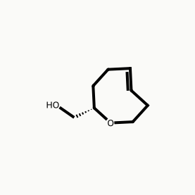 OC[C@@H]1CC/C=C/CCO1